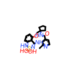 Cc1cc(C(=O)NC2(COc3cccc4c3C(N)=NS(O)(O)N4)CCCC2)ccn1